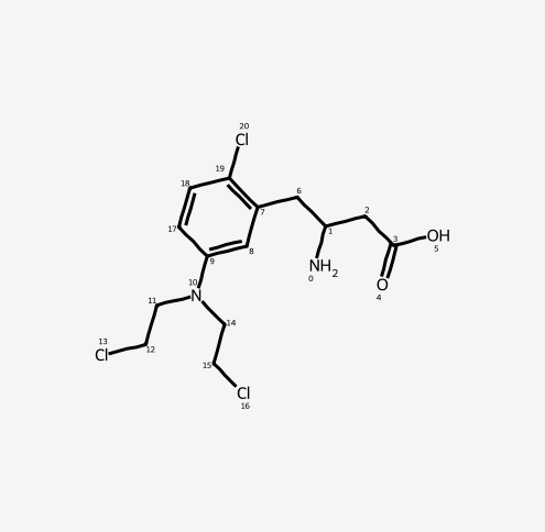 NC(CC(=O)O)Cc1cc(N(CCCl)CCCl)ccc1Cl